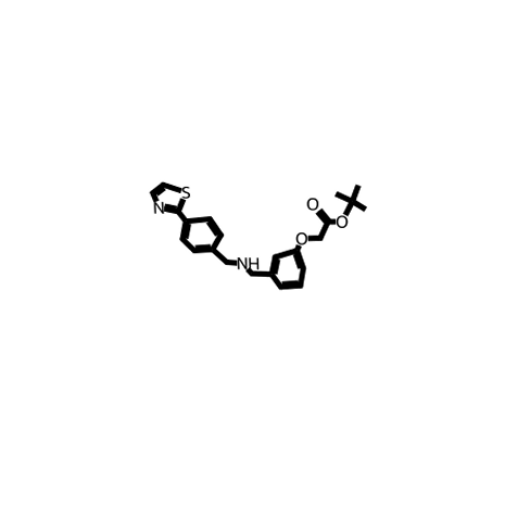 CC(C)(C)OC(=O)COc1cccc(CNCc2ccc(-c3nccs3)cc2)c1